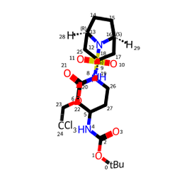 CC(C)(C)OC(=O)NC1CCN(S(=O)(=O)N2[C@@H]3CC[C@H]2C[C@H](NC(=O)OCC(Cl)(Cl)Cl)C3)CC1